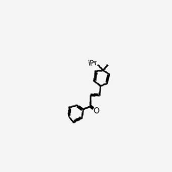 CC(C)C1(C)C=CC(/C=C/C(=O)c2ccccc2)C=C1